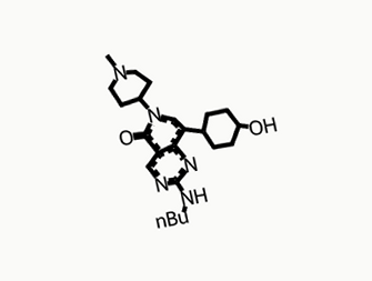 CCCCNc1ncc2c(=O)n(C3CCN(C)CC3)cc(C3CCC(O)CC3)c2n1